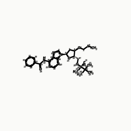 CSCO[C@@H]1C[C@H](n2cnc3c(NC(=O)c4ccccc4)ncnc32)O[C@H]1CO[Si](C)(C)C(C)(C)C